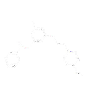 Cc1cc(OCC[n+]2ccc(N)nc2)cc(OS(=O)c2ccccc2)c1